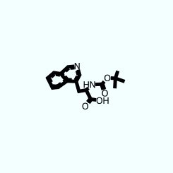 CC(C)(C)OC(=O)NC(Cc1cncc2ccccc12)C(=O)O